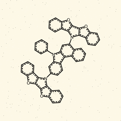 c1ccc(-n2c3cc(-n4c5c6ccccc6oc5c5oc6ccccc6c54)ccc3c3c4ccccc4c(-n4c5c6ccccc6oc5c5oc6ccccc6c54)cc32)cc1